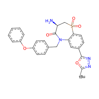 CC(C)(C)c1nnc(-c2ccc3c(c2)N(Cc2ccc(Oc4ccccc4)cc2)C(=O)[C@@H](N)CS3(=O)=O)o1